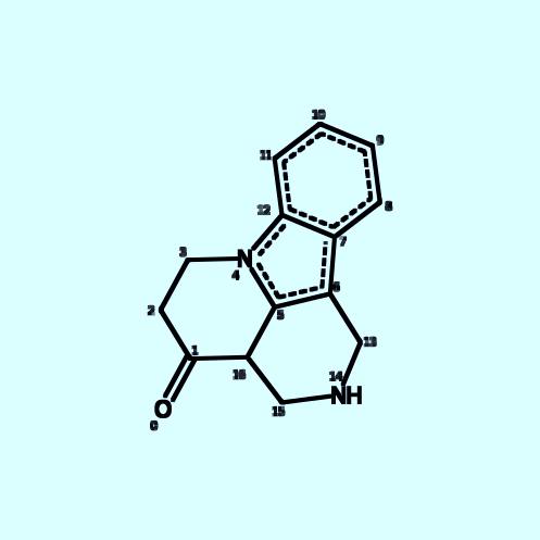 O=C1CCn2c3c(c4ccccc42)CNCC13